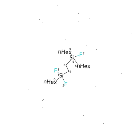 CCCCCC[Si](F)(F)CC[Si](F)(CCCCCC)CCCCCC